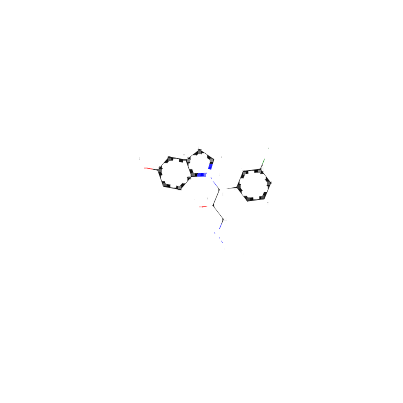 CNC[C@@H](O)[C@H](c1cccc(F)c1)n1ccc2cc(O)ccc21